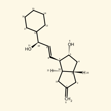 C=C1C[C@H]2C[C@@H](O)[C@H](C=C[C@@H](O)C3CCCCC3)[C@@H]2C1